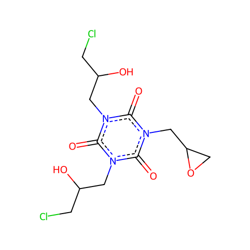 O=c1n(CC(O)CCl)c(=O)n(CC2CO2)c(=O)n1CC(O)CCl